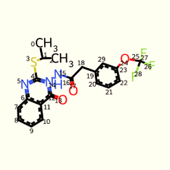 CC(C)Sc1nc2ccccc2c(=O)n1NC(=O)Cc1cccc(OC(F)(F)F)c1